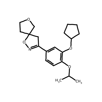 CC(C)Oc1ccc(C2=NOC3(CCOC3)C2)cc1OC1CCCC1